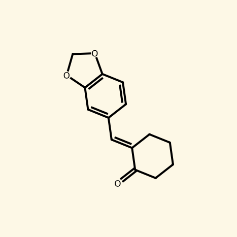 O=C1CCCC/C1=C\c1ccc2c(c1)OCO2